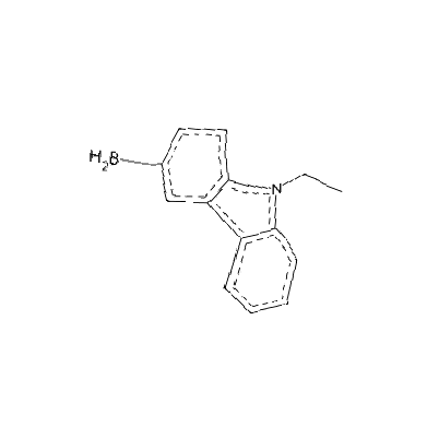 Bc1ccc2c(c1)c1ccccc1n2CC